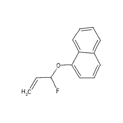 C=C[C](F)Oc1cccc2ccccc12